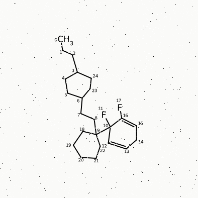 CCCC1CCC(CCC2(C3(F)C=CCC=C3F)CCCCC2)CC1